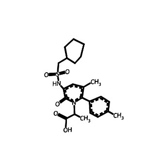 Cc1ccc(-c2c(C)cc(NS(=O)(=O)CC3CCCCC3)c(=O)n2C(C)C(=O)O)cc1